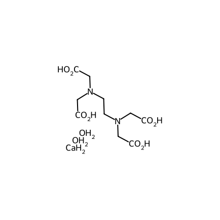 O.O.O=C(O)CN(CCN(CC(=O)O)CC(=O)O)CC(=O)O.[CaH2]